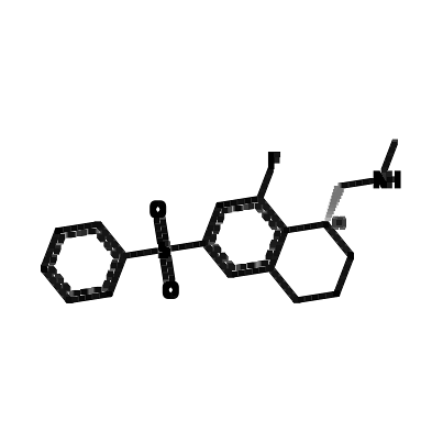 CNC[C@@H]1CCCc2cc(S(=O)(=O)c3ccccc3)cc(F)c21